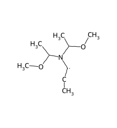 CC[CH]N(C(C)OC)C(C)OC